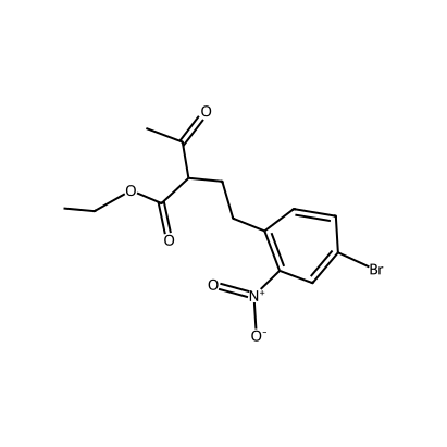 CCOC(=O)C(CCc1ccc(Br)cc1[N+](=O)[O-])C(C)=O